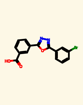 O=C(O)c1cccc(-c2nnc(-c3cccc(Br)c3)o2)c1